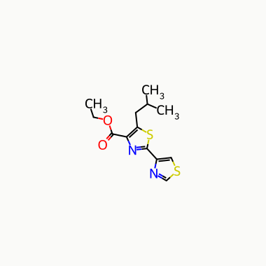 CCOC(=O)c1nc(-c2cscn2)sc1CC(C)C